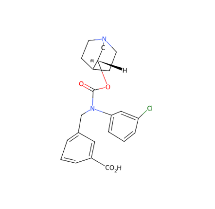 O=C(O)c1cccc(CN(C(=O)O[C@H]2CN3CCC2CC3)c2cccc(Cl)c2)c1